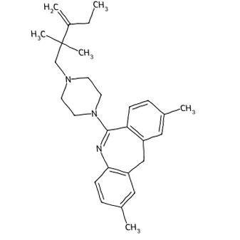 C=C(CC)C(C)(C)CN1CCN(C2=Nc3ccc(C)cc3Cc3cc(C)ccc32)CC1